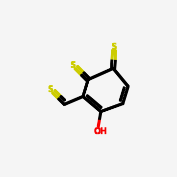 OC1=C(C=S)C(=S)C(=S)C=C1